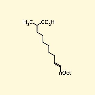 CCCCCCCCC=CCCCCC/C=C(/C)C(=O)O